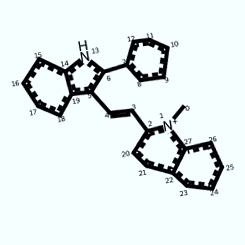 C[n+]1c(/C=C/c2c(-c3ccccc3)[nH]c3ccccc23)ccc2ccccc21